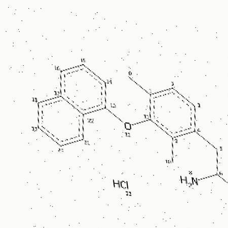 Cc1ccc(CC(C)N)c(C)c1Oc1cccc2ccccc12.Cl